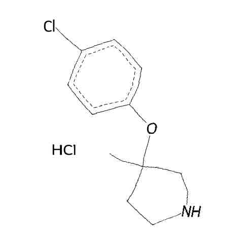 CC1(Oc2ccc(Cl)cc2)CCNC1.Cl